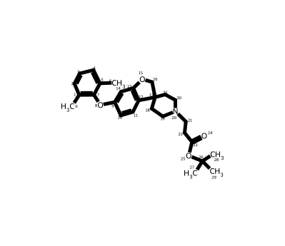 Cc1cccc(C)c1Oc1ccc2c(c1)OCC21CCN(CCC(=O)OC(C)(C)C)CC1